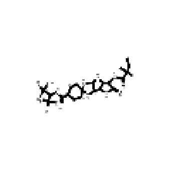 CCC(C)(C)C(=O)OC1C(=O)OC2C3OC4(CCC(C(=O)OC(C(F)(F)F)C(F)(F)F)CC4)OC3OC12